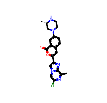 Cc1nc(Cl)cn2cc(-c3cc4ccc(N5CCN[C@@H](C)C5)cc4c(=O)o3)nc12